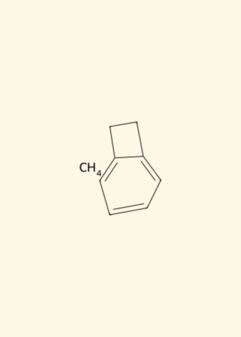 C.c1ccc2c(c1)CC2